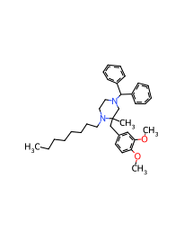 CCCCCCCCN1CCN(C(c2ccccc2)c2ccccc2)CC1(C)Cc1ccc(OC)c(OC)c1